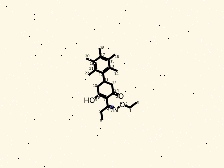 CCO/N=C(/CC)C1=C(O)CC(c2c(C)c(C)c(C)c(C)c2C)CC1=O